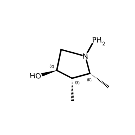 C[C@H]1[C@@H](C)N(P)C[C@@H]1O